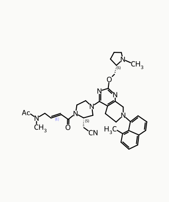 CC(=O)N(C)C/C=C/C(=O)N1CCN(c2nc(OC[C@@H]3CCCN3C)nc3c2CCN(c2cccc4cccc(C)c24)C3)C[C@@H]1CC#N